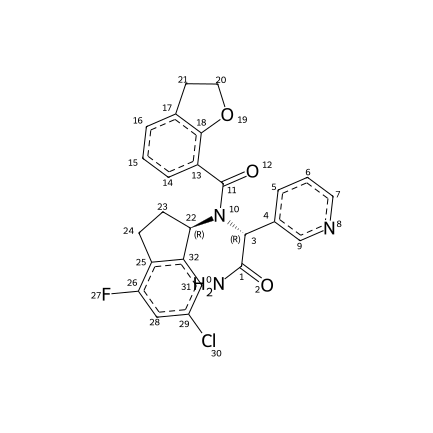 NC(=O)[C@@H](c1cccnc1)N(C(=O)c1cccc2c1OCC2)[C@@H]1CCc2c(F)cc(Cl)cc21